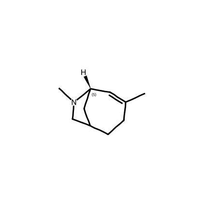 CC1=C[C@@H]2CC(CC1)CN2C